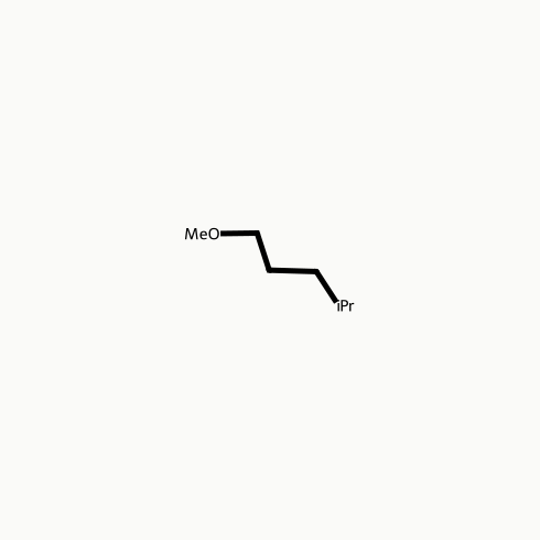 [C]OCCCC(C)C